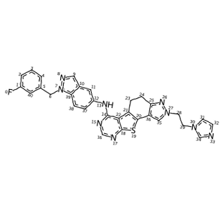 Fc1cccc(Cn2ncc3cc(Nc4ncnc5sc6c(c45)CCc4nn(CCn5ccnc5)cc4-6)ccc32)c1